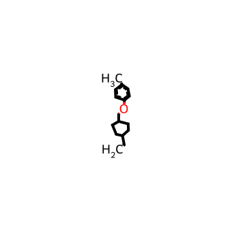 C=CC1CCC(COc2ccc(C)cc2)CC1